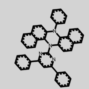 c1ccc(-c2cc(-c3ccccc3)nc(N3c4ccc5ccccc5c4N(c4ccccc4)c4ccc5ccccc5c43)n2)cc1